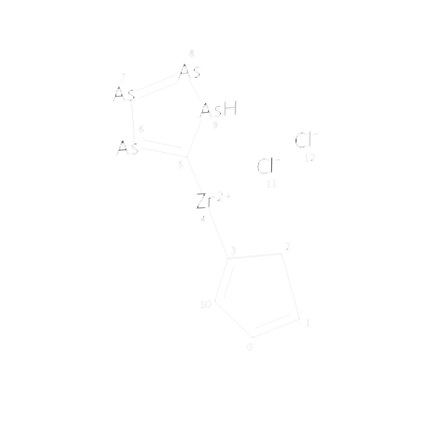 C1=CC[C]([Zr+2][C]2=[As][As]=[As][AsH]2)=C1.[Cl-].[Cl-]